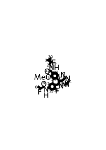 C=C(F)C(=O)Nc1ccc(-c2nn3ncnc(N)c3c2-c2ccc(C(=O)NCC3(F)CC3)c(OC)c2)c(F)c1